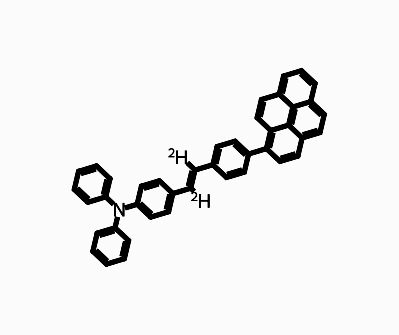 [2H]/C(=C(/[2H])c1ccc(N(c2ccccc2)c2ccccc2)cc1)c1ccc(-c2ccc3ccc4cccc5ccc2c3c45)cc1